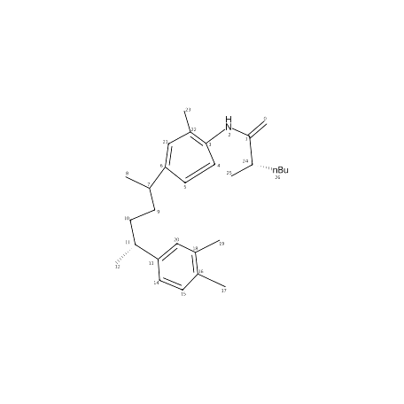 C=C(Nc1ccc(C(C)CC[C@@H](C)c2ccc(C)c(C)c2)cc1C)[C@@H](C)CCCC